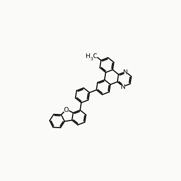 Cc1ccc2c(c1)c1cc(-c3cccc(-c4cccc5c4oc4ccccc45)c3)ccc1c1nccnc21